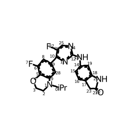 CC(C)N1CCOc2c(F)cc(-c3nc(Nc4ccc5c(c4)NC(=O)C5)ncc3F)cc21